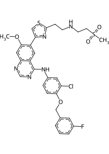 COc1cc2ncnc(Nc3ccc(OCc4cccc(F)c4)c(Cl)c3)c2cc1-c1csc(CCNCCS(C)(=O)=O)n1